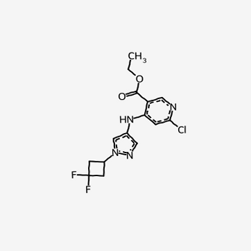 CCOC(=O)c1cnc(Cl)cc1Nc1cnn(C2CC(F)(F)C2)c1